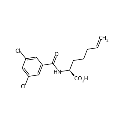 C=CCCC[C@H](NC(=O)c1cc(Cl)cc(Cl)c1)C(=O)O